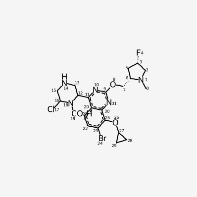 CN1C[C@@H](F)C[C@H]1COc1nc(C2CNCC(Cl)N2C(=O)O)c2ccc(Br)c(OC3CC3)c2n1